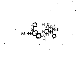 CC[C@@H]1C(=O)N(C)c2cnc(Nc3ccc(C[C@H](NC)C(=O)OC4CCCC4)cc3)nc2N1C1CCCC1